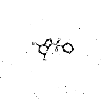 CC(=O)c1cc(Br)c2ccn(S(=O)(=O)c3ccccc3)c2c1